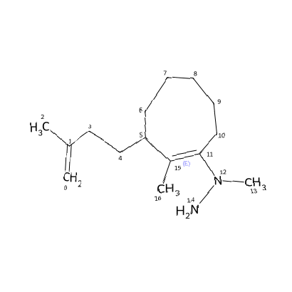 C=C(C)CCC1CCCCC/C(N(C)N)=C\1C